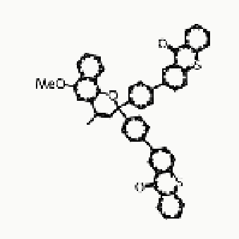 COc1cc2c(c3ccccc13)OC(c1ccc(-c3ccc4sc5ccccc5c(=O)c4c3)cc1)(c1ccc(-c3ccc4sc5ccccc5c(=O)c4c3)cc1)C=C2C